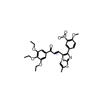 CCOc1cc(C(=O)/C=C/c2c(-c3ccc(OC)c([N+](=O)[O-])c3)nc3sc(C)cn23)cc(OCC)c1OCC